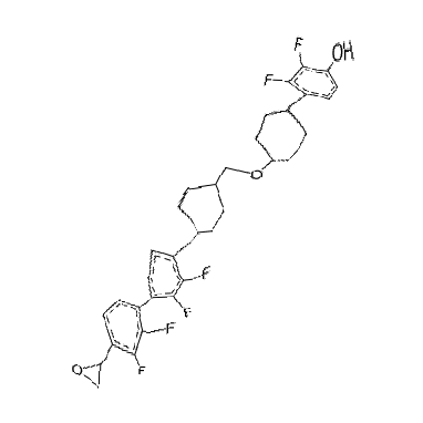 Oc1ccc(C2CCC(OCC3CCC(c4ccc(-c5ccc(C6CO6)c(F)c5F)c(F)c4F)CC3)CC2)c(F)c1F